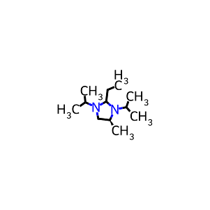 CCC1N(C(C)C)C[C@H](C)N1C(C)C